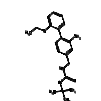 CCOc1ccccc1-c1ccc(CNC(=O)OC(C)(C)C)cc1N